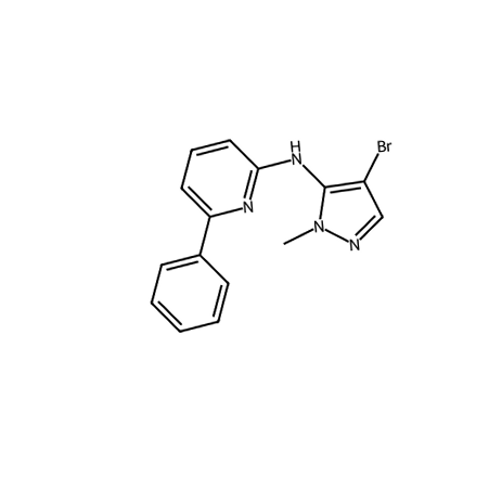 Cn1ncc(Br)c1Nc1cccc(-c2ccccc2)n1